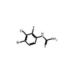 NC(=S)Nc1ccc(Br)c(Cl)c1F